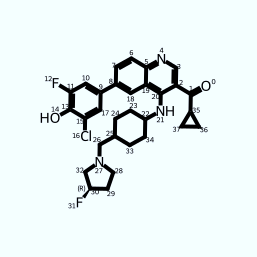 O=C(c1cnc2ccc(-c3cc(F)c(O)c(Cl)c3)cc2c1NC1CCC(CN2CC[C@@H](F)C2)CC1)C1CC1